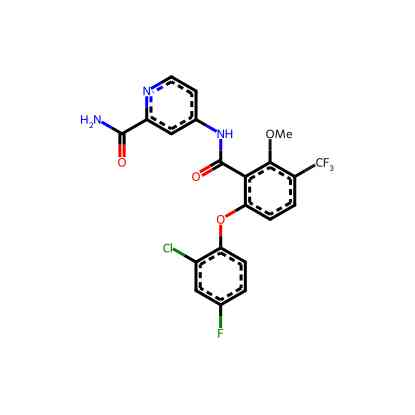 COc1c(C(F)(F)F)ccc(Oc2ccc(F)cc2Cl)c1C(=O)Nc1ccnc(C(N)=O)c1